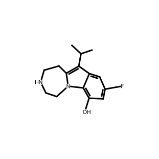 CC(C)c1c2n(c3c(O)cc(F)cc13)CCNCC2